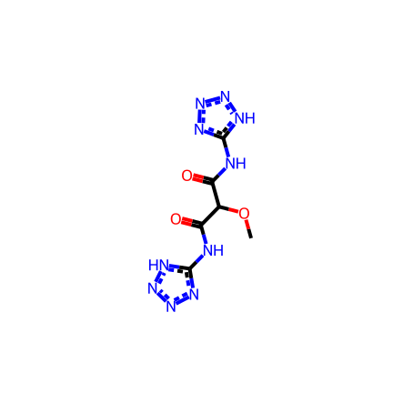 COC(C(=O)Nc1nnn[nH]1)C(=O)Nc1nnn[nH]1